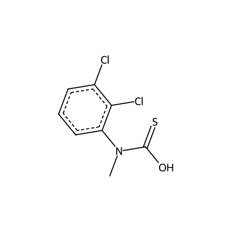 CN(C(O)=S)c1cccc(Cl)c1Cl